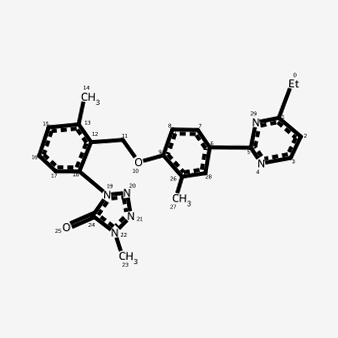 CCc1ccnc(-c2ccc(OCc3c(C)cccc3-n3nnn(C)c3=O)c(C)c2)n1